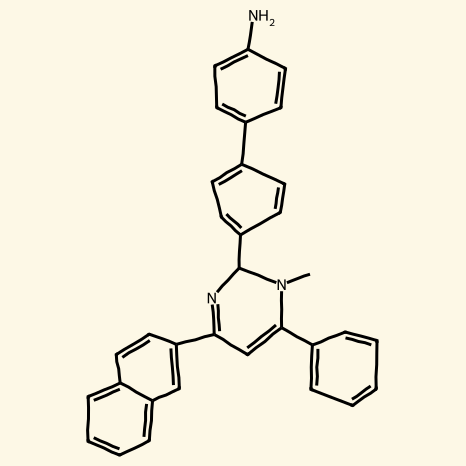 CN1C(c2ccccc2)=CC(c2ccc3ccccc3c2)=NC1c1ccc(-c2ccc(N)cc2)cc1